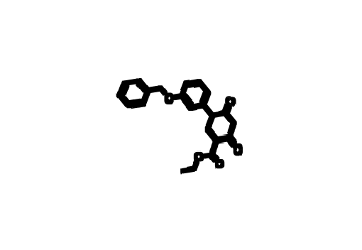 CCOC(=O)C1CC(c2cccc(OCc3ccccc3)c2)C(=O)CC1=O